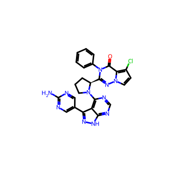 Nc1ncc(-c2n[nH]c3ncnc(N4CCC[C@H]4c4nn5ccc(Cl)c5c(=O)n4-c4ccccc4)c23)cn1